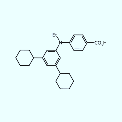 CCN(c1ccc(C(=O)O)cc1)c1cc(C2CCCCC2)cc(C2CCCCC2)c1